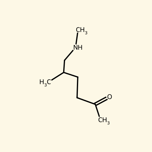 CNCC(C)CCC(C)=O